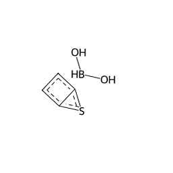 OBO.c1cc2sc1-2